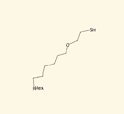 CCCCCCCCCCCCOCCS